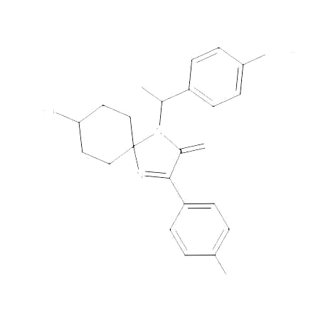 CC(C)C(c1ccc(C(=O)O)cc1)N1C(=O)C(c2ccc(F)cc2)=NC12CCC(C(C)(C)C)CC2